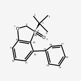 CC(C)(C)[P@]1(=O)COc2cccc(-c3ccccc3)c21